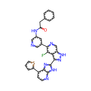 O=C(Cc1ccccc1)Nc1cncc(-c2ncc3[nH]nc(-c4nc5c(-c6cccs6)ccnc5[nH]4)c3c2F)c1